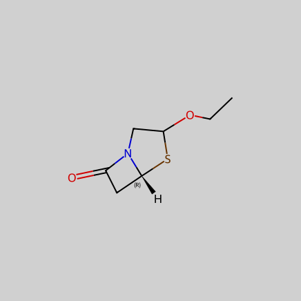 CCOC1CN2C(=O)C[C@H]2S1